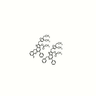 CCc1oc(Cc2nc3c(Cc4cccc(F)c4F)nc(-c4ccccc4)cn3c2OC(C)=O)cc1C.CCc1oc(Cc2nc3c(Cc4ccccc4)nc(-c4ccccc4)cn3c2OC(C)=O)cc1C